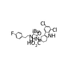 CCC(C)C(NCCc1ccc(F)cc1)C(=O)N[C@]1(C(=O)O)CCc2[nH]c3c(Cl)cc(Cl)cc3c2C1